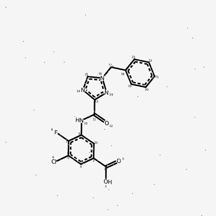 O=C(O)c1cc(Cl)c(F)c(NC(=O)c2ncn(Cc3ccccc3)n2)c1